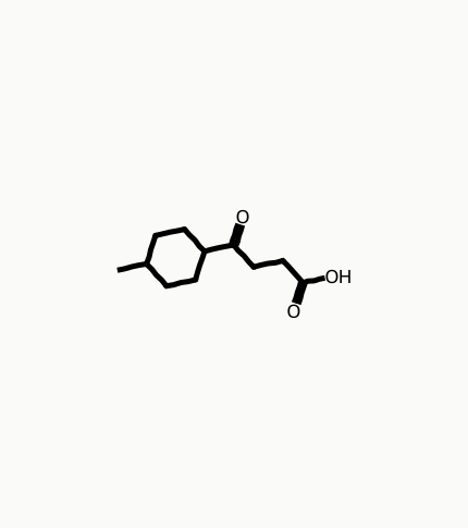 CC1CCC(C(=O)CCC(=O)O)CC1